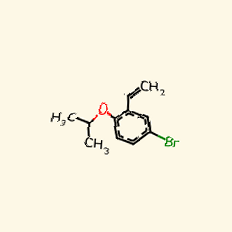 C=[C]c1cc(Br)ccc1OC(C)C